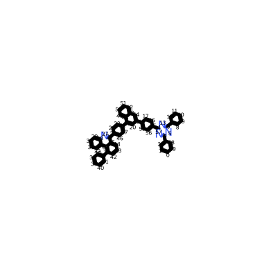 c1ccc(-c2nc(-c3ccccc3)nc(-c3ccc(-c4cc(-c5ccc(-c6nc7ccccc7c7c(-c8ccccc8)cccc67)cc5)c5ccccc5c4)cc3)n2)cc1